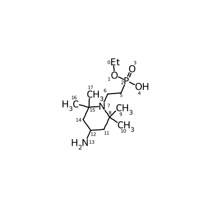 CCOP(=O)(O)CCN1C(C)(C)CC(N)CC1(C)C